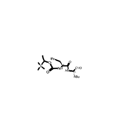 CCCC[C@@H](C=O)NC(=O)[C@H](CC(C)C)NC(=O)OC(C)[Si](C)(C)C